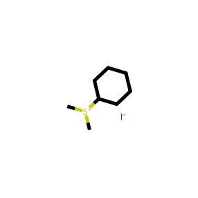 C[S+](C)C1CCCCC1.[I-]